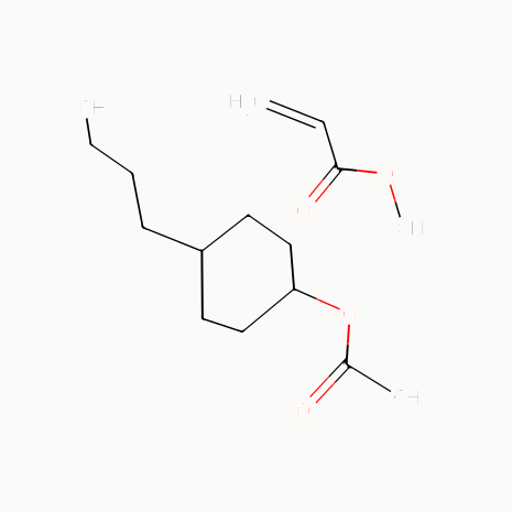 C=CC(=O)OC.CCCCC1CCC(OC(C)=O)CC1